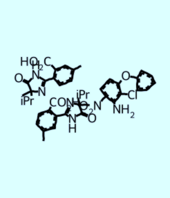 Cc1ccc(C(=O)O)c(C2=NC(C)(C(C)C)C(=O)N2)c1.Cc1ccc(C2=NC(C)(C(C)C)C(=O)N2)c(C(=O)O)c1.Nc1c([N+](=O)[O-])ccc(Oc2ccccc2)c1Cl